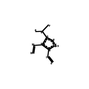 C=Cc1scc(C(C)C)c1C=C